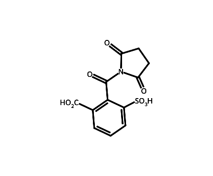 O=C(O)c1cccc(S(=O)(=O)O)c1C(=O)N1C(=O)CCC1=O